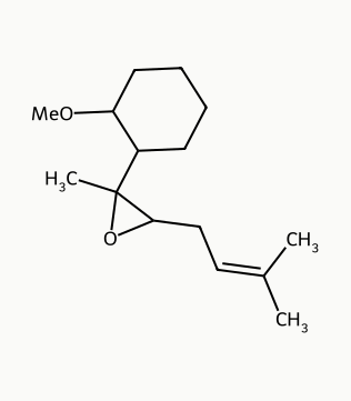 COC1CCCCC1C1(C)OC1CC=C(C)C